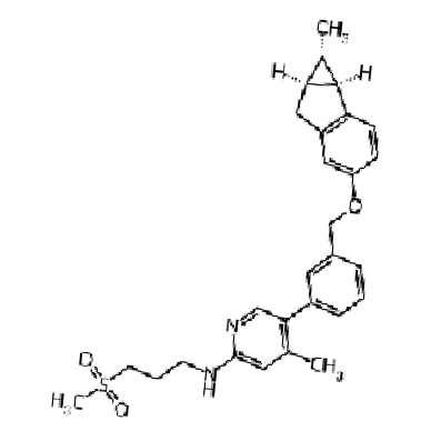 Cc1cc(NCCCS(C)(=O)=O)ncc1-c1cccc(COc2ccc3c(c2)C[C@H]2[C@H](C)[C@@H]32)c1